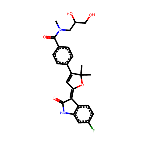 CN(CC(O)CO)C(=O)c1ccc(C2=C/C(=C3\C(=O)Nc4cc(F)ccc43)OC2(C)C)cc1